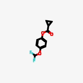 O=C(Oc1ccc(OC(F)F)cc1)C1CC1